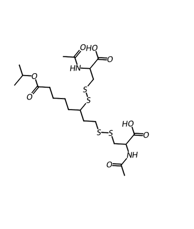 CC(=O)NC(CSSCCC(CCCCC(=O)OC(C)C)SSCC(NC(C)=O)C(=O)O)C(=O)O